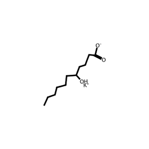 CCCCCCC(O)CCCC(=O)[O-].[K+]